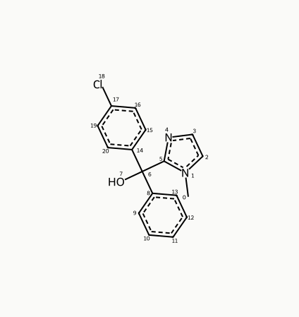 Cn1ccnc1C(O)(c1ccccc1)c1ccc(Cl)cc1